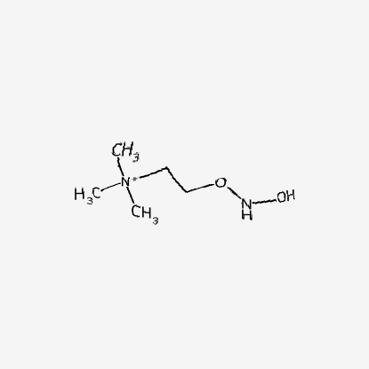 C[N+](C)(C)CCONO